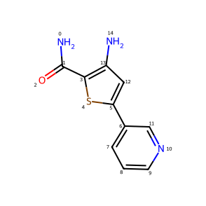 NC(=O)c1sc(-c2cccnc2)cc1N